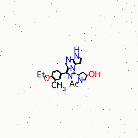 CCOc1ccc(-c2nc([C@H]3C[C@@H](O)CN3C(C)=O)n3c2cnc2[nH]ccc23)cc1C